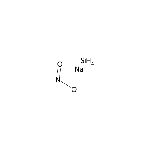 O=N[O-].[Na+].[SiH4]